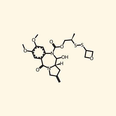 C=C1C[C@H]2C(O)N(C(=O)OC[C@@H](C)SSC3COC3)c3cc(OC)c(OC)cc3C(=O)N2C1